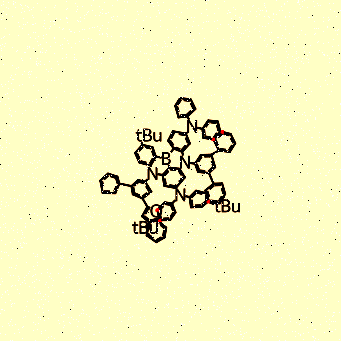 CC(C)(C)c1ccc(N(c2ccc(C(C)(C)C)cc2)c2cc3c4c(c2)N(c2cc(-c5ccccc5)cc(-c5ccccc5)c2)c2cc(N(c5ccccc5)c5ccccc5)ccc2B4c2cc(C(C)(C)C)ccc2N3c2cc(-c3ccccc3)cc(-c3cc4ccccc4o3)c2)cc1